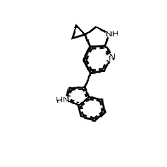 c1ccc2c(-c3cnc4c(c3)C3(CC3)CN4)c[nH]c2c1